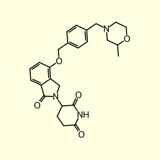 CC1CN(Cc2ccc(COc3cccc4c3CN(C3CCC(=O)NC3=O)C4=O)cc2)CCO1